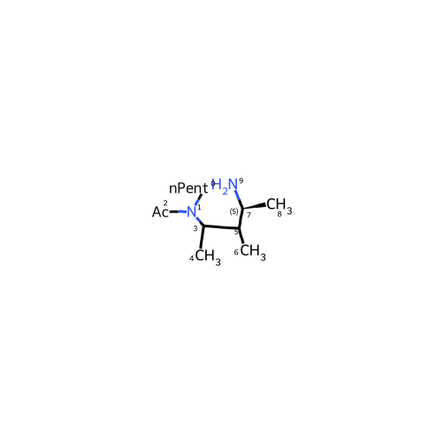 CCCCCN(C(C)=O)C(C)C(C)[C@H](C)N